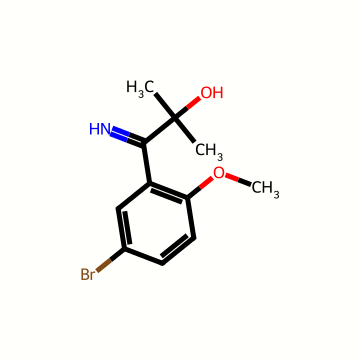 COc1ccc(Br)cc1C(=N)C(C)(C)O